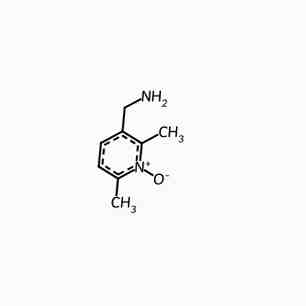 Cc1ccc(CN)c(C)[n+]1[O-]